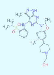 Cc1cc2c(cc1C1CCN(CCO)CC1)OC(C)N2c1nc(Nc2ccccc2S(=O)(=O)C(C)C)c2c(C)n[nH]c2n1